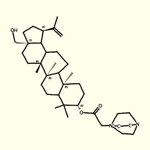 C=C(C)[C@@H]1CC[C@]2(CO)CC[C@]3(C)C(CCC4[C@@]5(C)CC[C@H](OC(=O)C[N+]67CCN(CC6)CC7)C(C)(C)C5CC[C@]43C)C12